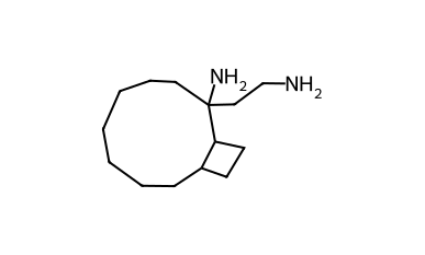 NCCC1(N)CCCCCCCC2CCC21